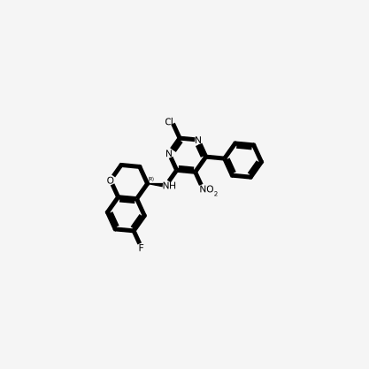 O=[N+]([O-])c1c(N[C@@H]2CCOc3ccc(F)cc32)nc(Cl)nc1-c1ccccc1